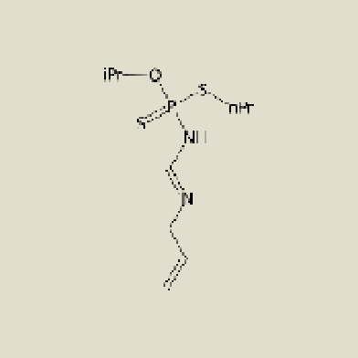 C=CCN=CNP(=S)(OC(C)C)SCCC